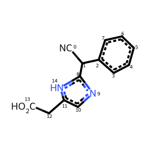 N#CC(c1ccccc1)c1ncc(CC(=O)O)[nH]1